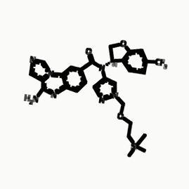 C[Si](C)(C)CCOCn1cc(N(C(=O)c2ccc3nc(N)c4cncn4c3c2)[C@@H]2COc3cc(C(F)(F)F)ccc32)cn1